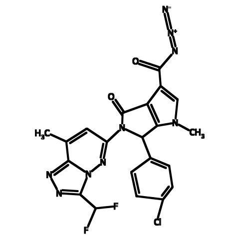 Cc1cc(N2C(=O)c3c(C(=O)N=[N+]=[N-])cn(C)c3C2c2ccc(Cl)cc2)nn2c(C(F)F)nnc12